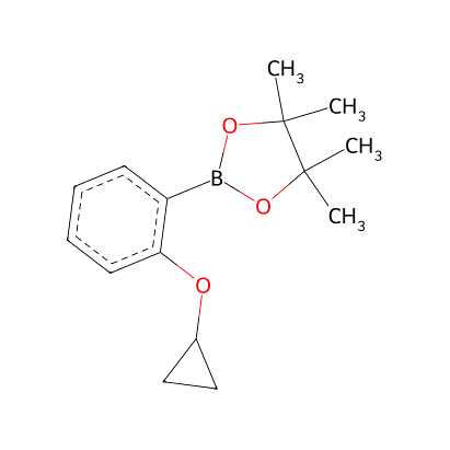 CC1(C)OB(c2ccccc2OC2CC2)OC1(C)C